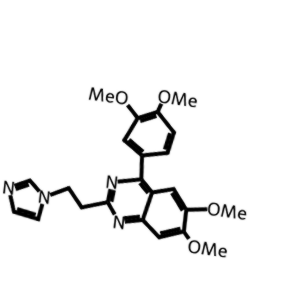 COc1ccc(-c2nc(CCn3ccnc3)nc3cc(OC)c(OC)cc23)cc1OC